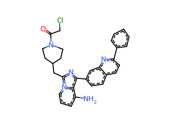 Nc1cccn2c(CC3CCN(C(=O)CCl)CC3)nc(-c3ccc4ccc(-c5ccccc5)nc4c3)c12